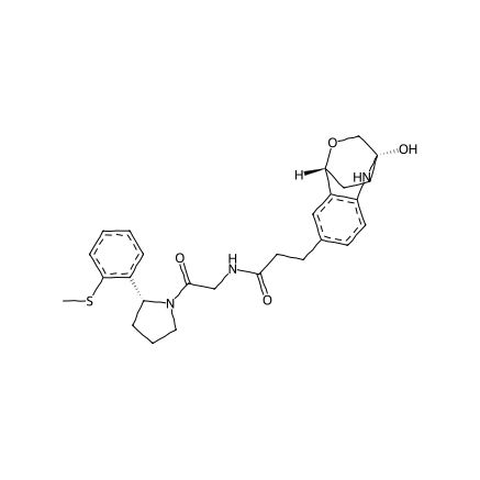 CSc1ccccc1[C@H]1CCCN1C(=O)CNC(=O)CCc1ccc2c(c1)[C@H]1CC[C@](O)(CO1)N2